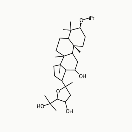 CC(C)O[C@H]1CC[C@@]2(C)C(CCC3(C)C2CC(O)C2C(C4(C)CC(O)C(C(C)(C)O)O4)CCC23C)C1(C)C